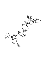 CC(C)(C)OC(=O)NC1CCN(c2ncc(-c3nn(C4CCCCO4)c4ccc(Br)cc34)s2)CC1